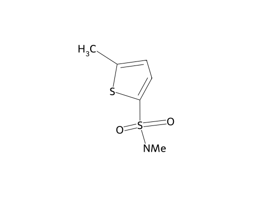 CNS(=O)(=O)c1ccc(C)s1